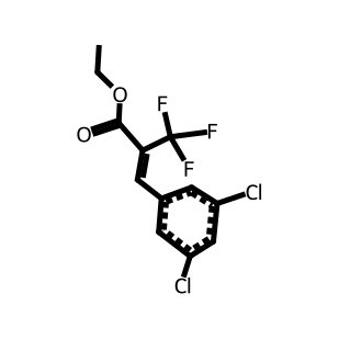 CCOC(=O)C(=Cc1cc(Cl)cc(Cl)c1)C(F)(F)F